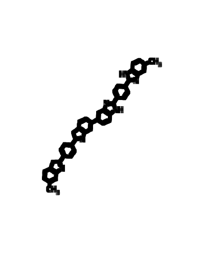 Cc1ccc2c(c1)N=C(c1ccc(C3=Nc4cc(-c5ccc6[nH]c(-c7ccc(-c8nc9cc(C)ccc9[nH]8)cc7)nc6c5)ccc4C3)cc1)C2